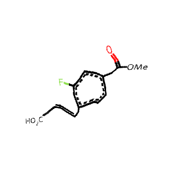 COC(=O)c1ccc(/C=C/C(=O)O)c(F)c1